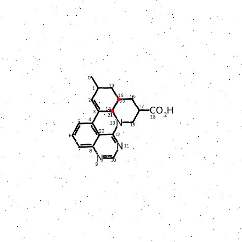 CC1C=C(c2cccc3ncnc(N4CCCC(C(=O)O)C4)c23)CCC1